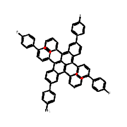 Fc1ccc(-c2ccc(-c3c4ccc(-c5ccc(F)cc5)cc4c(-c4ccccc4)c4c(-c5ccc(-c6ccc(F)cc6)cc5)c5ccc(-c6ccc(P)cc6)cc5c(-c5ccccc5)c34)cc2)cc1